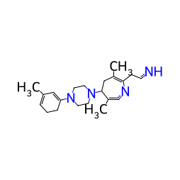 CC1=C=NC(CC=N)=C(C)CC1N1CCN(C2=CC(C)=CCC2)CC1